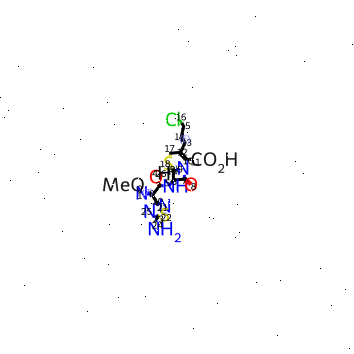 CO/N=C(\C(=O)NC1C(=O)N2C(C(=O)O)=C(/C=C/CCl)CS[C@H]12)c1nsc(N)n1